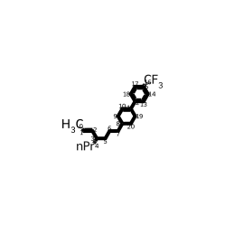 C/C=C/C(CCC)CCCC1CC=C(c2ccc(C(F)(F)F)cc2)CC1